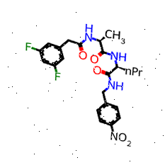 CCC[C@H](NC(=O)[C@H](C)NC(=O)Cc1cc(F)cc(F)c1)C(=O)NCc1ccc([N+](=O)[O-])cc1